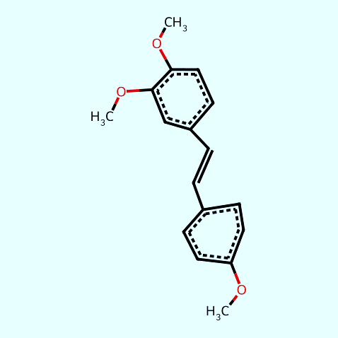 COc1ccc(C=Cc2ccc(OC)c(OC)c2)cc1